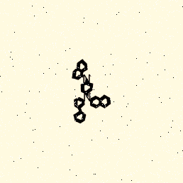 CN(c1ccc(N(c2cccc(-c3ccccc3)c2)c2ccc3ccccc3c2)cc1)c1cccc2ccccc12